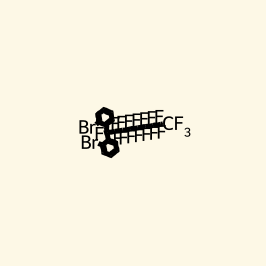 FC(F)(F)C(F)(F)C(F)(F)C(F)(F)C(F)(F)C(F)(F)C(F)(F)C(F)(F)C(F)(c1ccccc1Br)c1ccccc1Br